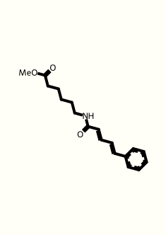 COC(=O)CCCCCNC(=O)C=CC=Cc1ccccc1